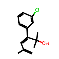 C=C(C)/C=C(/c1cccc(Cl)c1)C(C)(C)O